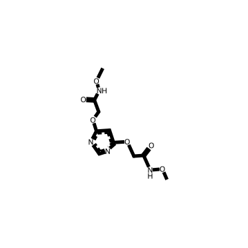 CONC(=O)COc1cc(OCC(=O)NOC)ncn1